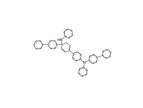 C1=CC(Nc2ccccc2)(c2ccc(-c3ccccc3)cc2)CC=C1c1ccc(N(c2ccccc2)c2ccc(-c3ccccc3)cc2)cc1